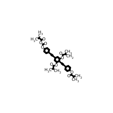 C=C(C)C(=O)OC(=O)Oc1ccc(C#Cc2cc(OC(=O)C(=C)C)c(C#Cc3ccc(OC(=O)C(=C)C)cc3)c(OC(=O)C(=C)C)c2)cc1